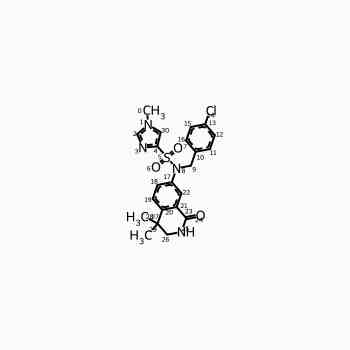 Cn1cnc(S(=O)(=O)N(Cc2ccc(Cl)cc2)c2ccc3c(c2)C(=O)NCC3(C)C)c1